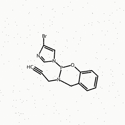 C#CCN1Cc2ccccc2OP1n1cnc(Br)c1